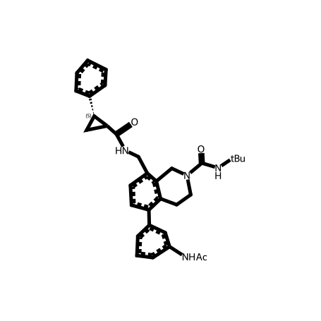 CC(=O)Nc1cccc(-c2ccc(CNC(=O)C3C[C@@H]3c3ccccc3)c3c2CCN(C(=O)NC(C)(C)C)C3)c1